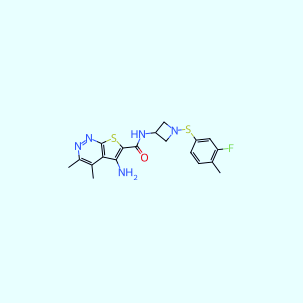 Cc1ccc(SN2CC(NC(=O)c3sc4nnc(C)c(C)c4c3N)C2)cc1F